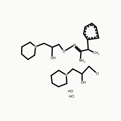 CC(C(N)=NOCC(O)CN1CCCCC1)c1ccccc1.Cl.Cl.OC(CCl)CN1CCCCC1